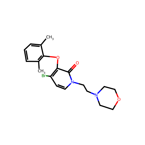 Cc1cccc(C)c1Oc1c(Br)ccn(CCN2CCOCC2)c1=O